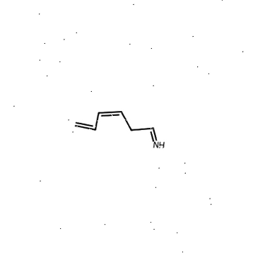 C=C/C=C\CC=N